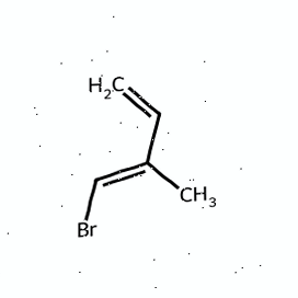 C=CC(C)=CBr